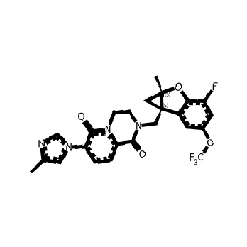 Cc1cn(-c2ccc3n(c2=O)CCN(C[C@@]24C[C@]2(C)Oc2c(F)cc(OC(F)(F)F)cc24)C3=O)cn1